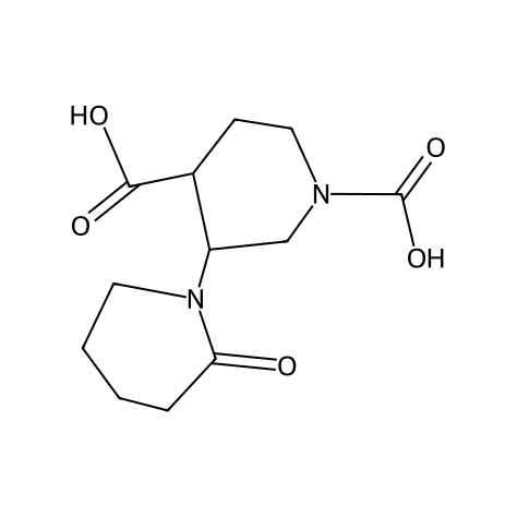 O=C(O)C1CCN(C(=O)O)CC1N1CCCCC1=O